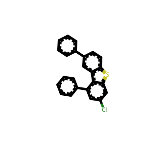 Clc1cc(-c2ccccc2)c2c(c1)sc1ccc(-c3ccccc3)cc12